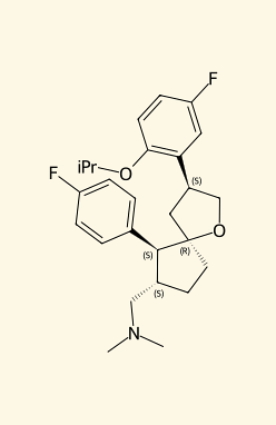 CC(C)Oc1ccc(F)cc1[C@H]1CO[C@]2(CC[C@H](CN(C)C)[C@H]2c2ccc(F)cc2)C1